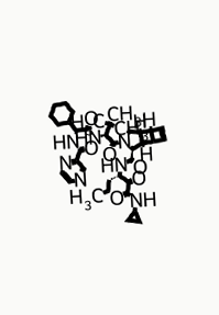 CCC[C@H](NC(=O)[C@@H]1[C@H]2C3C=C[C@H]3[C@H]2CN1C(=O)[C@@H](NC(=O)[C@@H](NC(=O)c1cnccn1)C1CCCCC1)C(C)(C)C)C(=O)C(=O)NC1CC1